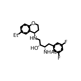 CCc1ccc2c(c1)[C@H](NC[C@@H](O)[C@H](Cc1cc(F)cc(F)c1)NC(C)=O)CCO2